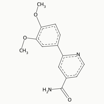 COc1ccc(-c2cc(C(N)=O)ccn2)cc1OC